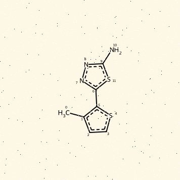 Cc1ccsc1-c1nnc(N)s1